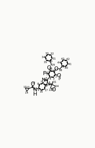 COc1cc(-c2nc3cc(NC(=O)C4CC4)ccc3n2C2(C)COC2)c(F)c(OCc2ccccc2)c1OCc1ccccc1